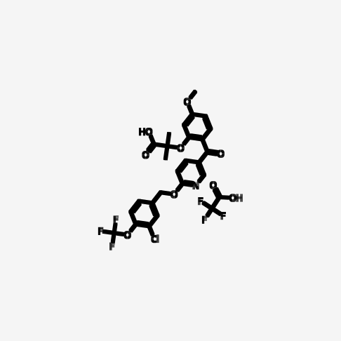 COc1ccc(C(=O)c2ccc(OCc3ccc(OC(F)(F)F)c(Cl)c3)nc2)c(OC(C)(C)C(=O)O)c1.O=C(O)C(F)(F)F